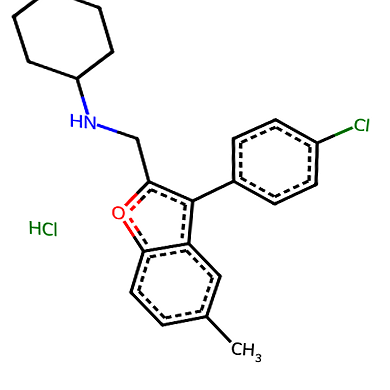 Cc1ccc2oc(CNC3CCCCC3)c(-c3ccc(Cl)cc3)c2c1.Cl